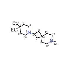 CCC1(CC)CCN(C2CC3(CCN(C)CC3)C2)CC1